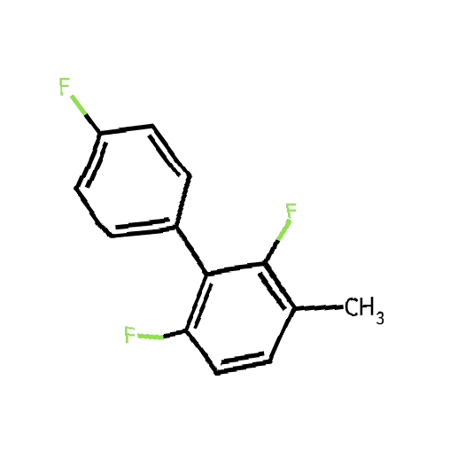 Cc1ccc(F)c(-c2ccc(F)cc2)c1F